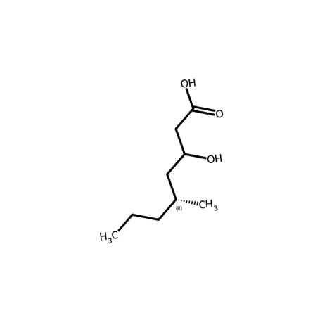 CCC[C@@H](C)CC(O)CC(=O)O